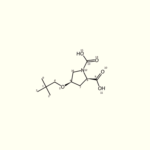 CC(C)(C)CO[C@@H]1C[C@H](C(=O)O)N(C(=O)O)C1